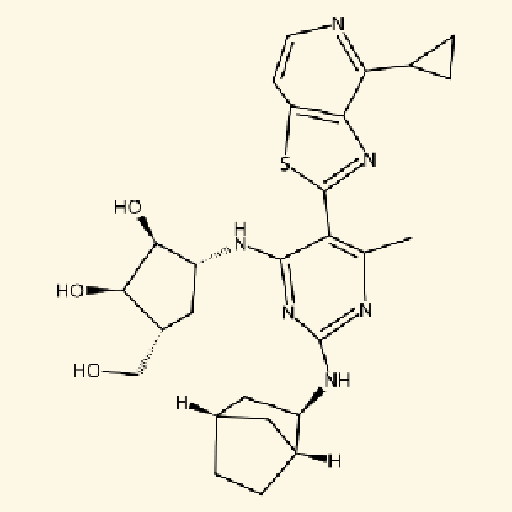 Cc1nc(N[C@@H]2C[C@H]3CC[C@@H]2C3)nc(N[C@@H]2C[C@H](CO)[C@@H](O)[C@H]2O)c1-c1nc2c(C3CC3)nccc2s1